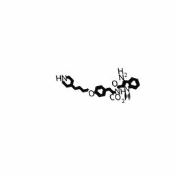 Nc1c(C(=O)N[C@@H](Cc2ccc(OCCCCC3CCNCC3)cc2)C(=O)O)[nH]c2ccccc12